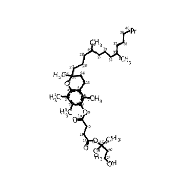 Cc1c(C)c2c(c(C)c1OC(=O)CCC(=O)OC(C)(C)CCO)CCC(C)(CCCC(C)CCCC(C)CCCC(C)C)O2